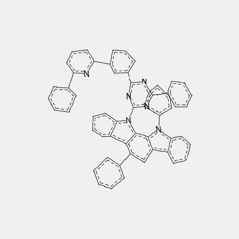 c1ccc(-c2cccc(-c3cccc(-c4nc(-c5ccccc5)nc(-n5c6ccccc6c6c(-c7ccccc7)cc7c8ccccc8n(-c8ccccc8)c7c65)n4)c3)n2)cc1